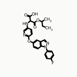 CCC(C)OC(=O)C(Nc1ccc(Oc2ccc3c(cnn3-c3ccc(F)cc3)c2)nc1)C(=O)O